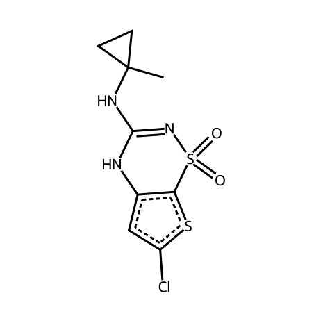 CC1(NC2=NS(=O)(=O)c3sc(Cl)cc3N2)CC1